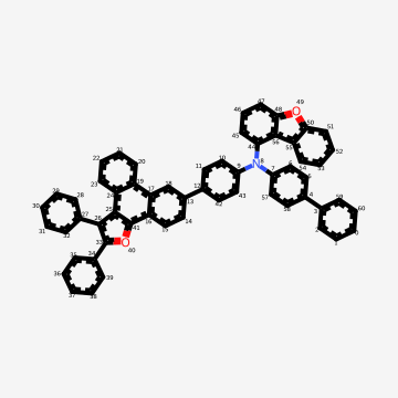 c1ccc(-c2ccc(N(c3ccc(-c4ccc5c(c4)c4ccccc4c4c(-c6ccccc6)c(-c6ccccc6)oc54)cc3)c3cccc4oc5ccccc5c34)cc2)cc1